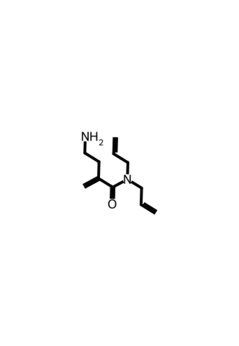 C=CCN(CC=C)C(=O)C(=C)CCN